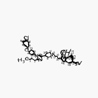 CCCCc1nc(C2CCN(CCCCc3cc4cc(C#N)ccc4n3C)CC2)cn1-c1ccc(Oc2ccc(Cl)cc2)cc1